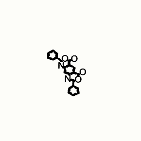 O=c1oc(-c2ccccc2)nc2cc3nc(-c4ccccc4)oc(=O)c3cc12